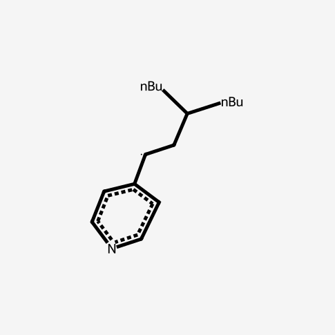 CCCCC(C[CH]c1ccncc1)CCCC